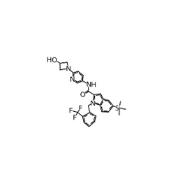 C[Si](C)(C)c1ccc2c(c1)cc(C(=O)Nc1ccc(N3CC(O)C3)nc1)n2Cc1ccccc1C(F)(F)F